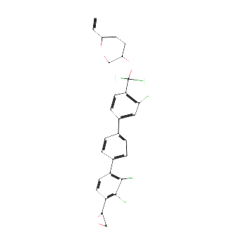 C=CC1CCC(OC(F)(F)c2ccc(-c3ccc(-c4ccc(C5CO5)c(F)c4F)cc3)cc2F)CO1